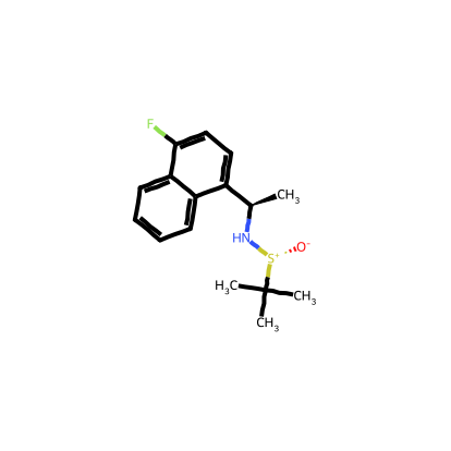 C[C@@H](N[S@+]([O-])C(C)(C)C)c1ccc(F)c2ccccc12